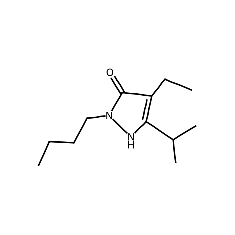 CCCCn1[nH]c(C(C)C)c(CC)c1=O